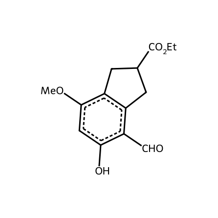 CCOC(=O)C1Cc2c(OC)cc(O)c(C=O)c2C1